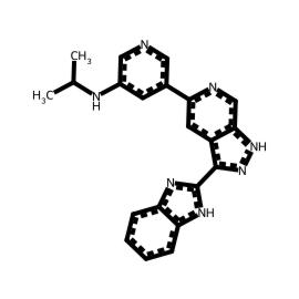 CC(C)Nc1cncc(-c2cc3c(-c4nc5ccccc5[nH]4)n[nH]c3cn2)c1